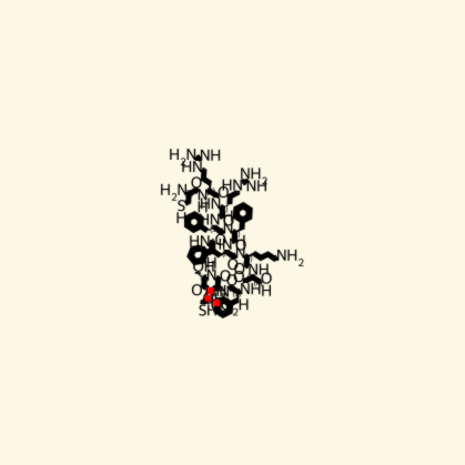 C[C@@H](O)[C@H](NC(=O)[C@H](Cc1ccccc1)NC(=O)[C@@H](NC(=O)[C@H](CCCCN)NC(=O)[C@@H](Cc1c[nH]c2ccccc12)NC(=O)[C@H](Cc1ccccc1)NC(=O)[C@H](Cc1ccccc1)NC(=O)[C@@H](CCCNC(=N)N)NC(=O)[C@H](CCCNC(=N)N)NC(=O)[C@@H](N)CS)[C@@H](C)O)C(=O)N[C@@H](CO)C(=O)N[C@@H](CS)C(=O)O